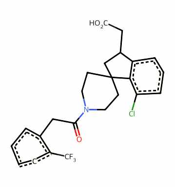 O=C(O)CC1CC2(CCN(C(=O)Cc3ccccc3C(F)(F)F)CC2)c2c(Cl)cccc21